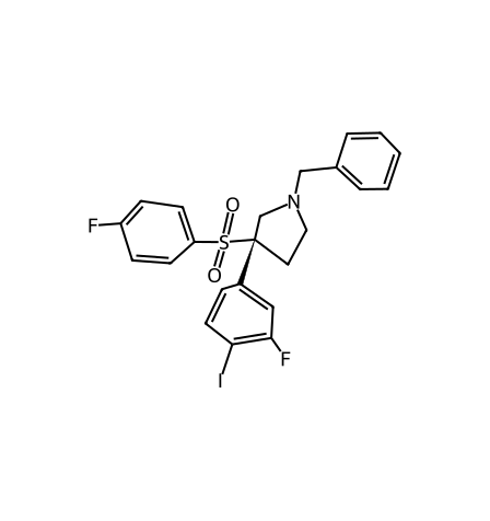 O=S(=O)(c1ccc(F)cc1)[C@@]1(c2ccc(I)c(F)c2)CCN(Cc2ccccc2)C1